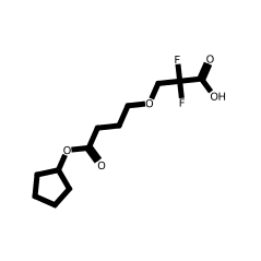 O=C(CCCOCC(F)(F)C(=O)O)OC1CCCC1